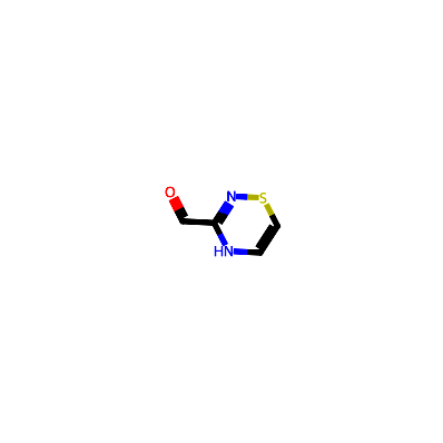 O=CC1=NSC=CN1